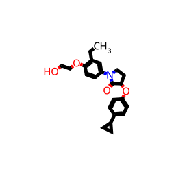 CCc1cc(N2CCC(Oc3ccc(C4CC4)cc3)C2=O)ccc1OCCO